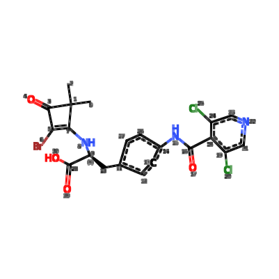 CC1(C)C(=O)C(Br)=C1N[C@@H](Cc1ccc(NC(=O)c2c(Cl)cncc2Cl)cc1)C(=O)O